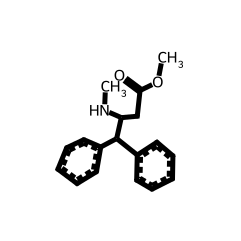 CNC(CC(=O)OC)C(c1ccccc1)c1ccccc1